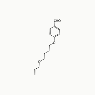 C=CCOCCCCOc1ccc(C=O)cc1